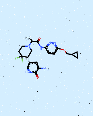 CC(C(=O)Nc1ccc(OCC2CC2)nn1)N1CCC(F)(F)[C@@H](c2c[nH]c(=O)c(N)c2)C1